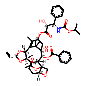 C=C[C@@H]1O[C@@H]2C3=C(C)[C@@H](OC(=O)[C@H](O)[C@@H](NC(=O)OC(C)C)c4ccccc4)C[C@@](O)([C@@H](OC(=O)c4ccccc4)[C@H]4[C@@](C)(CC[C@H]5OC[C@]54OC(C)=O)[C@@H]2O1)C3(C)C